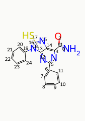 NC(=O)c1nc(-c2ccccc2)nc2c1nc(S)n2-c1ccccc1